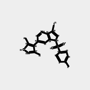 Cc1ccc(S(=O)(=O)n2cc(I)c3ncc(-c4c(C)noc4C)cc32)cc1